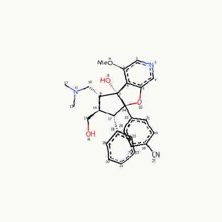 COc1cncc2c1[C@]1(O)[C@@H](CN(C)C)[C@H](CO)[C@@H](c3ccccc3)C1(c1ccc(C#N)cc1)O2